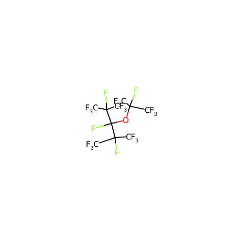 FC(F)(F)C(F)(OC(F)(C(F)(C(F)(F)F)C(F)(F)F)C(F)(C(F)(F)F)C(F)(F)F)C(F)(F)F